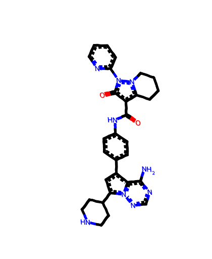 Nc1ncnn2c(C3CCNCC3)cc(-c3ccc(NC(=O)c4c5n(n(-c6ccccn6)c4=O)CCCC5)cc3)c12